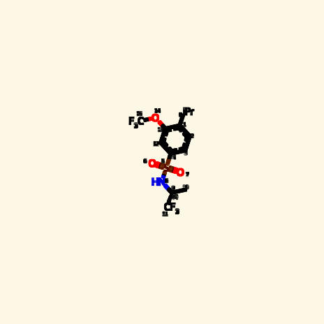 CC(C)c1ccc(S(=O)(=O)N[C@@H](C)C(F)(F)F)cc1OC(F)(F)F